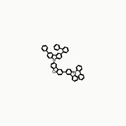 c1ccc(-c2ccc3c(c2)c2cc(-c4ccccc4-c4ccccc4)ccc2n3-c2ccc3oc4ccc(-c5ccc6c(c5)c5ccccc5n6-c5ccccc5-c5ccccc5)cc4c3c2)cc1